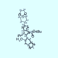 Cc1cc2ncnn2cc1-c1c(C(C)C)c2nc(C3CCC4(CC3)OCCO4)sc2n1C(=O)OC(C)(C)C